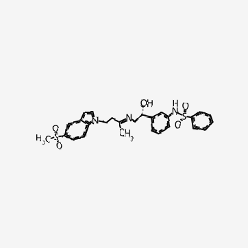 C/C(CCn1ccc2cc(S(C)(=O)=O)ccc21)=N\C[C@H](O)c1cccc(NS(=O)(=O)c2ccccc2)c1